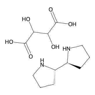 C1CN[C@H]([C@@H]2CCCN2)C1.O=C(O)C(O)C(O)C(=O)O